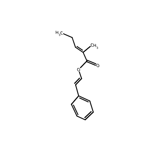 CCC=C(C)C(=O)OC=Cc1ccccc1